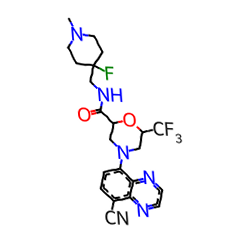 CN1CCC(F)(CNC(=O)C2CN(c3ccc(C#N)c4nccnc34)CC(C(F)(F)F)O2)CC1